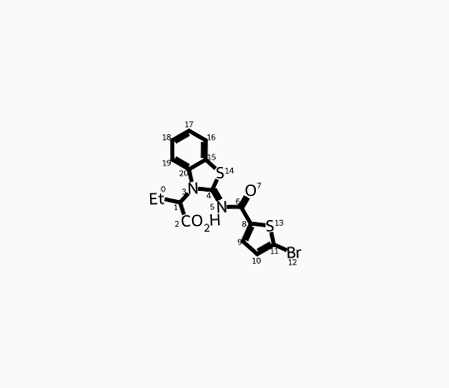 CCC(C(=O)O)n1c(=NC(=O)c2ccc(Br)s2)sc2ccccc21